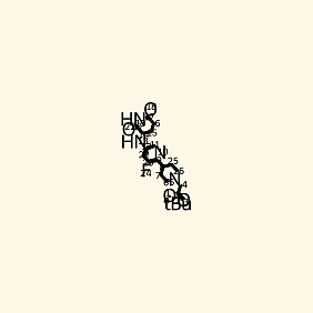 CC(C)(C)OC(=O)CN1CCC(c2ncc(NC3CCC(=O)NC3=O)cc2F)CC1